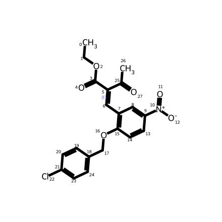 CCOC(=O)/C(=C/c1cc([N+](=O)[O-])ccc1OCc1ccc(Cl)cc1)C(C)=O